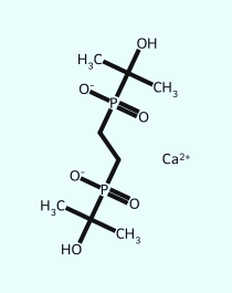 CC(C)(O)P(=O)([O-])CCP(=O)([O-])C(C)(C)O.[Ca+2]